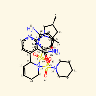 C[C@@H]1CN(c2nccc(C3C=CCC[N+]3(S(=O)(=O)c3cccc(N)n3)S(=O)(=O)N3CCCCC3)c2C(N)=O)C(C)(C)C1